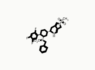 CS(=O)(=O)N1C=C2CC([C@H]3CC[C@H](c4cc(F)c(F)cc4F)[C@@H](N(Cc4ccccc4)C(=O)O)C3)NC=C2C1